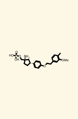 COc1cc(CCOc2ccc([C@@H]3CC[C@](N)(COP(=O)(O)O)C3)cc2)ccc1C